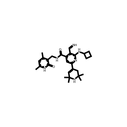 Cc1cc(C)c(CNC(=O)c2cc(C3=CC(C)(C)NC(C)(C)C3)nc(NC3CCC3)c2C=N)c(=O)[nH]1